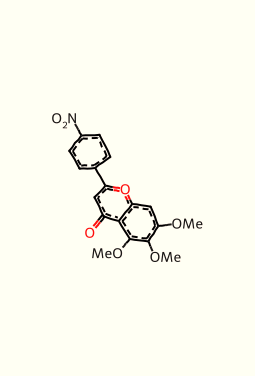 COc1cc2oc(-c3ccc([N+](=O)[O-])cc3)cc(=O)c2c(OC)c1OC